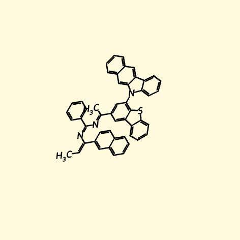 C\C=C(/N=C(\N=C(/C)c1cc(-n2c3ccccc3c3cc4ccccc4cc32)c2sc3ccccc3c2c1)c1ccccc1)c1ccc2ccccc2c1